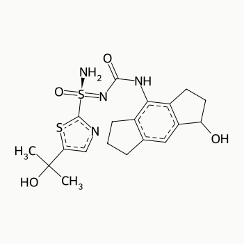 CC(C)(O)c1cnc([S@](N)(=O)=NC(=O)Nc2c3c(cc4c2CCC4O)CCC3)s1